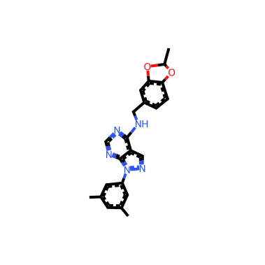 Cc1cc(C)cc(-n2ncc3c(NCc4ccc5c(c4)OC(C)O5)ncnc32)c1